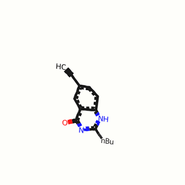 C#Cc1ccc2[nH]c(CCCC)nc(=O)c2c1